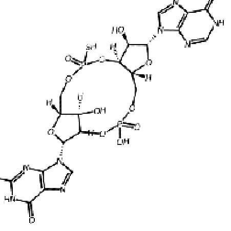 Nc1nc2c(ncn2[C@@H]2O[C@@H]3COP(=O)(S)O[C@H]4[C@@H](O)[C@H](n5cnc6c(=O)[nH]cnc65)O[C@@H]4COP(=O)(O)O[C@@H]2[C@@H]3O)c(=O)[nH]1